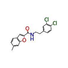 Cc1ccc2cc(C(=O)NCCc3ccc(Cl)c(Cl)c3)oc2c1